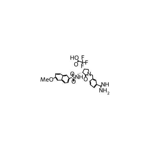 COc1ccc2cc(S(=O)(=O)NC[C@@H]3CCN(Cc4cccc(C(=N)N)c4)C3=O)ccc2c1.O=C(O)C(F)(F)F